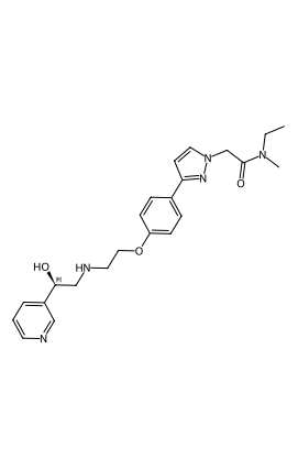 CCN(C)C(=O)Cn1ccc(-c2ccc(OCCNC[C@H](O)c3cccnc3)cc2)n1